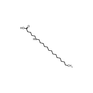 CCCCCCCCCCCCCCCNCCCCC(=O)O